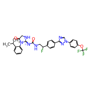 CC(C)c1ccccc1N1C(=O)CN/C1=N\C(=O)NCC(F)c1ccc(-c2ncn(-c3ccc(OC(F)(F)F)cc3)n2)cc1